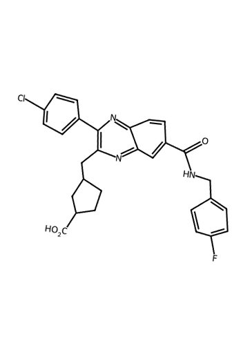 O=C(NCc1ccc(F)cc1)c1ccc2nc(-c3ccc(Cl)cc3)c(CC3CCC(C(=O)O)C3)nc2c1